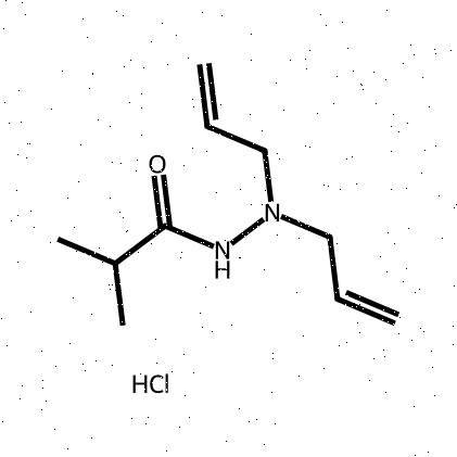 C=CCN(CC=C)NC(=O)C(C)C.Cl